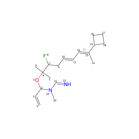 C=CC(OC(C)(C)C(F)CC=C/C=C(\C)C1CCC1)N(C)C=N